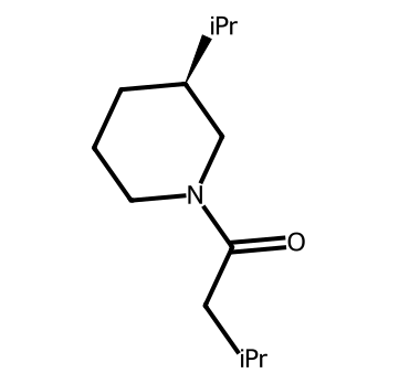 CC(C)CC(=O)N1CCC[C@@H](C(C)C)C1